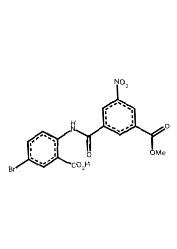 COC(=O)c1cc(C(=O)Nc2ccc(Br)cc2C(=O)O)cc([N+](=O)[O-])c1